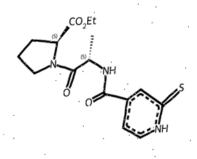 CCOC(=O)[C@@H]1CCCN1C(=O)[C@H](C)NC(=O)c1cc[nH]c(=S)c1